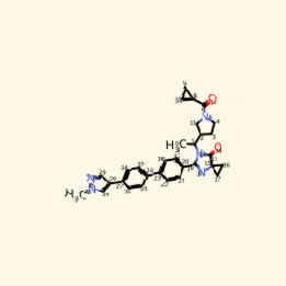 CC(C1CCN(C(=O)C2CC2)C1)N1C(=O)C2(CC2)N=C1c1ccc(-c2ccc(-c3cnn(C)c3)cc2)cc1